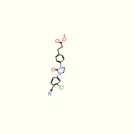 COC(=O)CCc1ccc(N2CCN(c3ccc(C#N)c(Cl)c3)C2=O)cc1